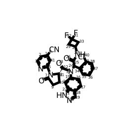 N#Cc1ccnc(N2C(=O)CC[C@H]2C(=O)N(c2ccc3cn[nH]c3c2)C(C(=O)NC2CC(F)(F)C2)c2ccccc2Cl)c1